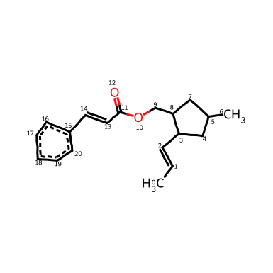 CC=CC1CC(C)CC1COC(=O)/C=C/c1ccccc1